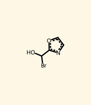 OC(Br)c1ncco1